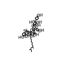 CCC(C)CC(C)CCCCCCCCC(=O)N[C@@H](C[C@@H](O)[C@H](C)Sc1ccc(O)c(O)c1)C(=O)N[C@H](C(=O)N1C[C@H](O)C[C@H]1C(=O)N[C@H](C(C)=O)[C@H](O)[C@@H](O)c1ccc(O)cc1)[C@@H](C)O